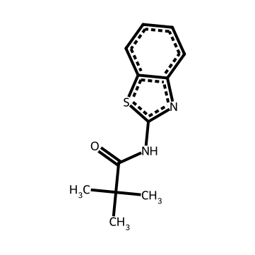 CC(C)(C)C(=O)Nc1nc2ccccc2s1